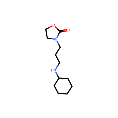 O=C1OCCN1CCCNC1CCCCC1